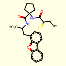 CC(C)CC(S)C(=O)NC1(C(=O)NC(Cc2cccc3c2oc2ccccc23)C(=O)O)CCCC1